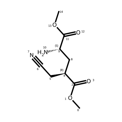 COC(=O)[C@@H](CC#N)C[C@H](N)C(=O)OC